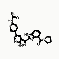 CCC(=O)Nc1ccc(-c2cnc3[nH]nc(-c4nc5c(C(=O)N6CCCC6)cccc5[nH]4)c3c2)cn1